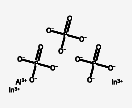 O=P([O-])([O-])[O-].O=P([O-])([O-])[O-].O=P([O-])([O-])[O-].[Al+3].[In+3].[In+3]